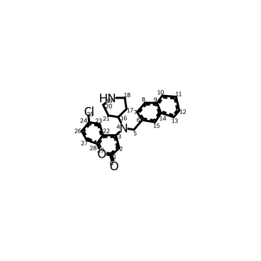 O=c1cc(N(Cc2ccc3ccccc3c2)C2CCNCC2)c2cc(Cl)ccc2o1